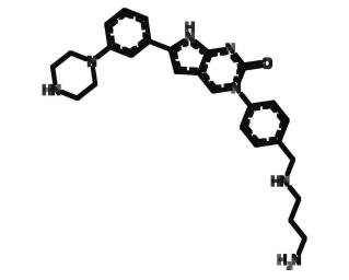 NCCCNCc1ccc(-n2cc3cc(-c4cccc(N5CCNCC5)c4)[nH]c3nc2=O)cc1